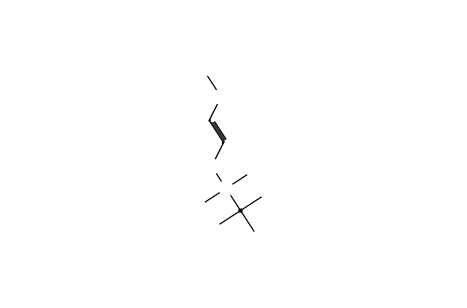 COC=CO[Si](C)(C)C(C)(C)C